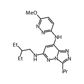 CCC(CC)CNc1cc(Nc2ccc(OC)nn2)c2nnc(C(C)C)n2n1